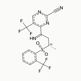 C[C@@H](CC(=N)c1nc(C#N)ncc1C(F)(F)F)S(=O)(=O)c1ccccc1C(F)(F)F